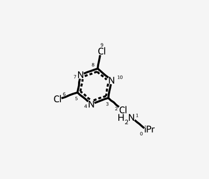 CC(C)N.Clc1nc(Cl)nc(Cl)n1